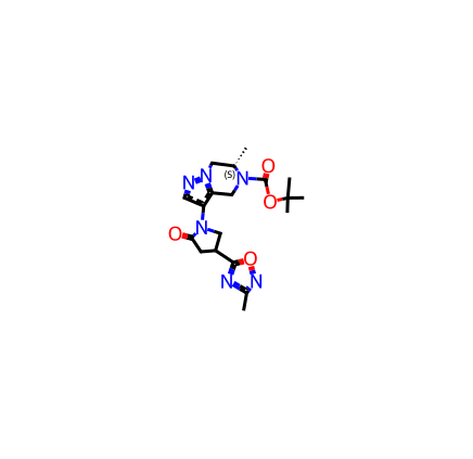 Cc1noc(C2CC(=O)N(c3cnn4c3CN(C(=O)OC(C)(C)C)[C@@H](C)C4)C2)n1